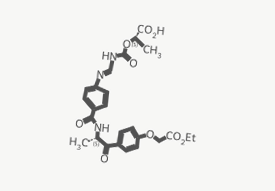 CCOC(=O)COc1ccc(C(=O)[C@H](C)NC(=O)c2ccc(N=CNC(=O)O[C@@H](C)C(=O)O)cc2)cc1